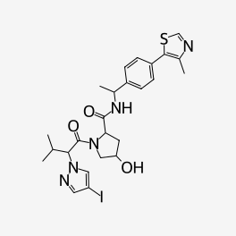 Cc1ncsc1-c1ccc(C(C)NC(=O)C2CC(O)CN2C(=O)C(C(C)C)n2cc(I)cn2)cc1